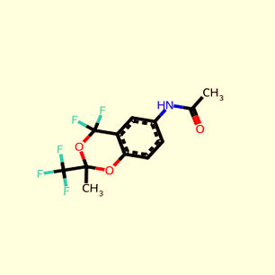 CC(=O)Nc1ccc2c(c1)C(F)(F)OC(C)(C(F)(F)F)O2